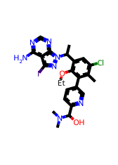 CCOc1c(C(C)n2nc(I)c3c(N)ncnc32)cc(Cl)c(C)c1-c1ccc(C(O)N(C)C)nc1